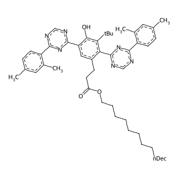 CCCCCCCCCCCCCCCCCCOC(=O)CCc1cc(-c2ncnc(-c3ccc(C)cc3C)n2)c(O)c(C(C)(C)C)c1-c1ncnc(-c2ccc(C)cc2C)n1